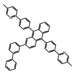 Cc1ccc(-c2ccc(-c3c4ccccc4c(-c4ccc(-c5ccc(C)cn5)cc4)c4cc(-c5cccc(-c6ccccc6)c5)ccc34)cc2)nc1